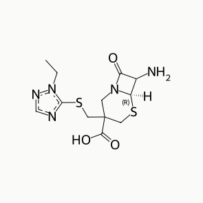 CCn1ncnc1SCC1(C(=O)O)CS[C@@H]2C(N)C(=O)N2C1